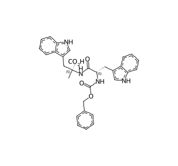 C[C@@](Cc1c[nH]c2ccccc12)(NC(=O)[C@H](Cc1c[nH]c2ccccc12)NC(=O)OCc1ccccc1)C(=O)O